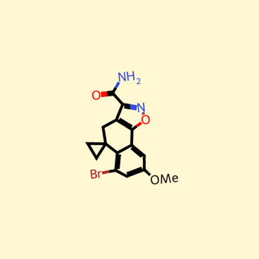 COc1cc(Br)c2c(c1)-c1onc(C(N)=O)c1CC21CC1